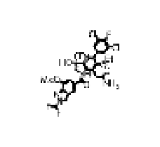 CCOc1c(CC(N)=O)cc([C@@](O)(CNC(=O)c2cc(OC)c3nn(C(F)F)cc3c2)C(F)(F)F)nc1-c1cc(Cl)c(F)c(Cl)c1